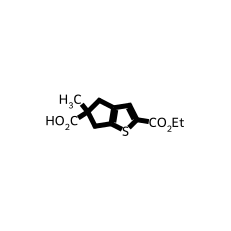 CCOC(=O)c1cc2c(s1)CC(C)(C(=O)O)C2